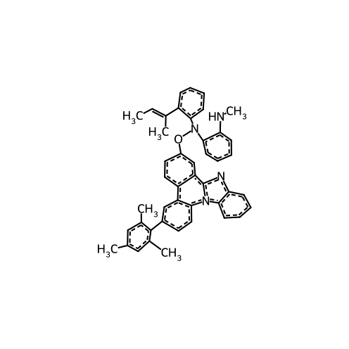 C/C=C(\C)c1ccccc1N(Oc1ccc2c3cc(-c4c(C)cc(C)cc4C)ccc3n3c4ccccc4nc3c2c1)c1ccccc1NC